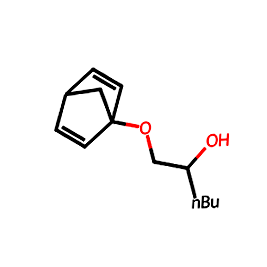 CCCCC(O)COC12C=CC(C=C1)C2